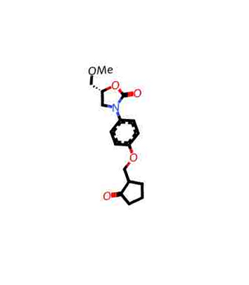 COC[C@H]1CN(c2ccc(OCC3CCCC3=O)cc2)C(=O)O1